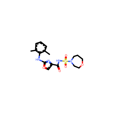 Cc1cccc(C)c1Nc1nc(C(=O)NS(=O)(=O)N2CCCOCC2)co1